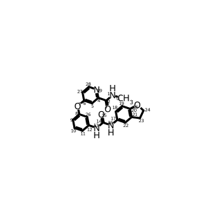 CNC(=O)c1cc(Oc2cccc(NC(=O)Nc3ccc4c(c3)CCO4)c2)ccn1